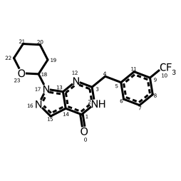 O=c1[nH]c(Cc2cccc(C(F)(F)F)c2)nc2c1cnn2C1CCCCO1